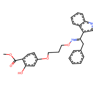 COC(=O)c1ccc(OCCCON=C(Cc2ccccc2)c2c[nH]c3ccccc23)cc1O